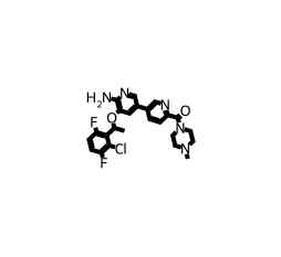 CC(Oc1cc(-c2ccc(C(=O)N3CCN(C)CC3)nc2)cnc1N)c1c(F)ccc(F)c1Cl